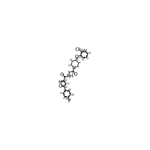 O=C(NCC(=O)N1CCC(Oc2cccnc2Cl)CC1)c1cc(-c2ccc(F)cc2)on1